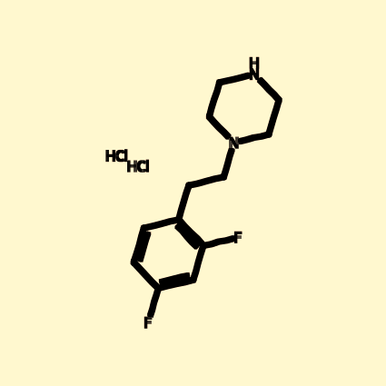 Cl.Cl.Fc1ccc(CCN2CCNCC2)c(F)c1